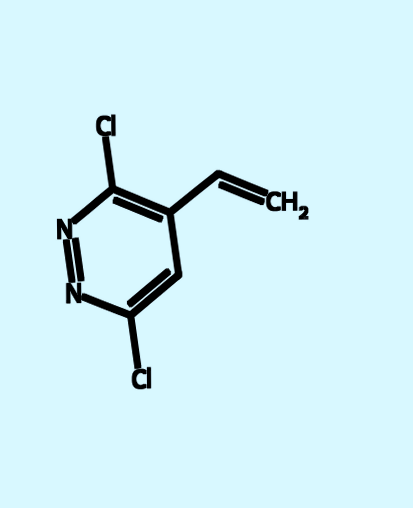 C=Cc1cc(Cl)nnc1Cl